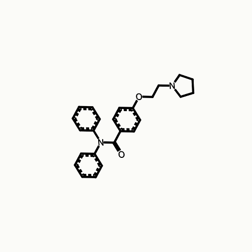 O=C(c1ccc(OCCN2CCCC2)cc1)N(c1ccccc1)c1ccccc1